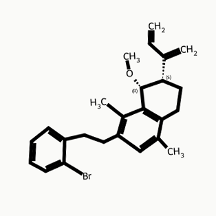 C=CC(=C)[C@@H]1CCc2c(C)cc(CCc3ccccc3Br)c(C)c2[C@@H]1OC